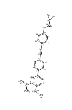 C[C@@H](N)[C@H](NC(=O)c1ccc(C#Cc2ccc(CNC3CC3)cc2)cc1)C(=O)NO